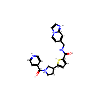 O=C(NCc1ccn2ccnc2c1)c1ccc(C2CCN(C(=O)c3ccncc3)C2)s1